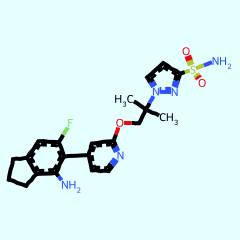 CC(C)(COc1cc(-c2c(F)cc3c(c2N)CCC3)ccn1)n1ccc(S(N)(=O)=O)n1